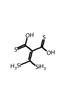 OC(=S)C(C(O)=S)=C([SiH3])[SiH3]